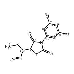 CCN(C=S)C1CC(=O)N(c2cc(Cl)cc(Cl)c2)C1=O